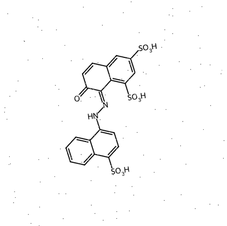 O=C1C=Cc2cc(S(=O)(=O)O)cc(S(=O)(=O)O)c2C1=NNc1ccc(S(=O)(=O)O)c2ccccc12